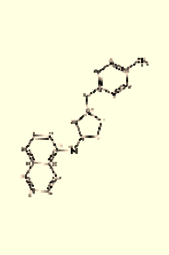 Cc1ccc(CN2CCC(Nc3cccc4cnccc34)C2)cc1